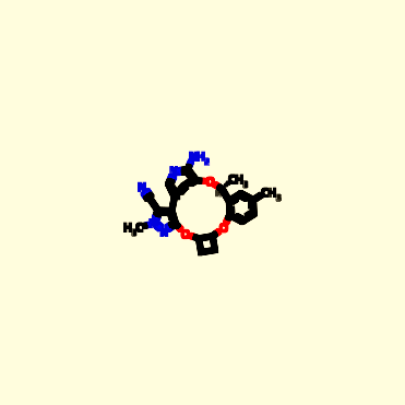 Cc1ccc2c(c1)[C@@H](C)Oc1cc(cnc1N)-c1c(nn(C)c1C#N)OC1CCC1O2